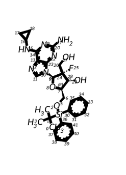 CC(C)(C)[Si](OC[C@H]1O[C@@H](n2cnc3c(NC4CC4)nc(N)nc32)[C@@](F)(CO)[C@@H]1O)(c1ccccc1)c1ccccc1